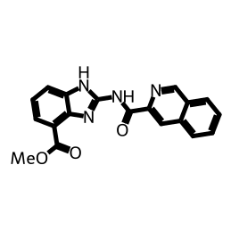 COC(=O)c1cccc2[nH]c(NC(=O)c3cc4ccccc4cn3)nc12